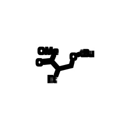 CCC(COC(C)(C)C)C(=O)OC